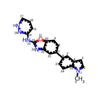 Cn1ccc2cc(-c3ccc4oc(Nc5cccnn5)nc4c3)ccc21